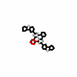 c1ccc(-c2nc(-c3ccc4oc5ccccc5c4c3)nc(-c3ccccc3-c3nc(-c4ccccc4)nc(-c4ccc5oc6ccccc6c5c4)n3)n2)cc1